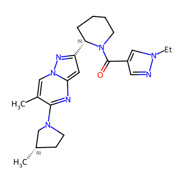 CCn1cc(C(=O)N2CCCC[C@H]2c2cc3nc(N4CC[C@H](C)C4)c(C)cn3n2)cn1